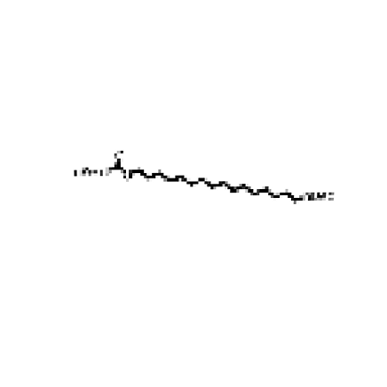 CCCCCCCCCCCCCCCCCCCCCCCCCCOC(=O)CCCCC